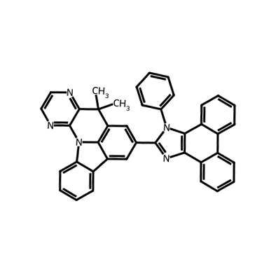 CC1(C)c2nccnc2-n2c3ccccc3c3cc(-c4nc5c6ccccc6c6ccccc6c5n4-c4ccccc4)cc1c32